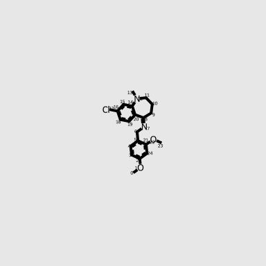 COc1ccc(C/N=C2/CCCN(C)c3cc(Cl)ccc32)c(OC)c1